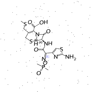 CSCC1=C(C(=O)O)N2C(=O)[C@@H](NC(=O)/C(=N/OP(C)(C)=O)c3csc(N)n3)[C@H]2SC1